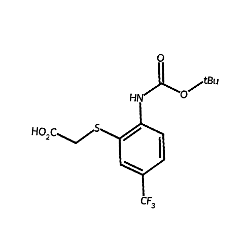 CC(C)(C)OC(=O)Nc1ccc(C(F)(F)F)cc1SCC(=O)O